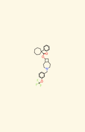 O=C(O[C@H]1CC2CCN(Cc3cccc(OC(F)(F)F)c3)CCC21)C1(c2ccccc2)CCCCCC1